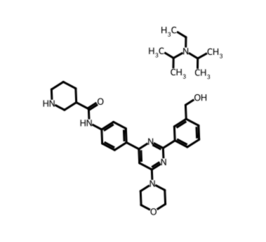 CCN(C(C)C)C(C)C.O=C(Nc1ccc(-c2cc(N3CCOCC3)nc(-c3cccc(CO)c3)n2)cc1)C1CCCNC1